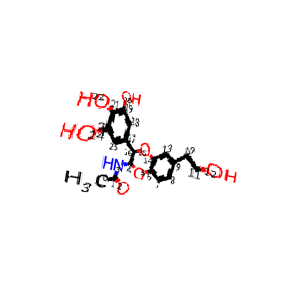 CC(=O)NC1Oc2ccc(CCO)cc2OC1c1cc(O)c(O)c(O)c1